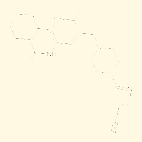 CC1C(CN2CCN(c3ncc(C#N)s3)CC2)=Cc2[nH]c(=O)c3c(c2[C@@H]1F)NCCC3